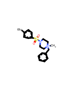 CC(C)(C)c1ccc(S(=O)(=O)N2CC[N+](C)(Cc3ccccc3)CC2)cc1